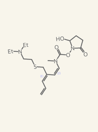 C=C/C=C(\C=C/N(C)C(=O)ON1C(=O)CCC1O)CSCCN(CC)CC